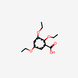 CCOc1cc(OCC)c(OCC)c(C(=O)O)c1